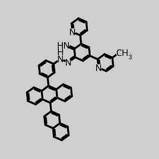 Cc1ccnc(C2=C/C(=N/Nc3cccc(-c4c5ccccc5c(-c5ccc6ccccc6c5)c5ccccc45)c3)C(=N)C(c3ccccn3)=C2)c1